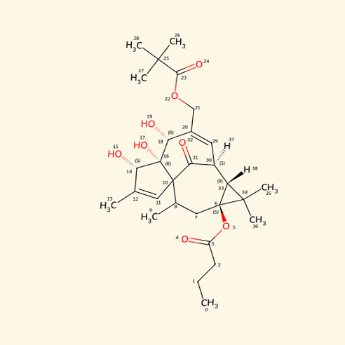 CCCC(=O)O[C@@]12CC(C)C34C=C(C)[C@H](O)[C@@]3(O)[C@H](O)C(COC(=O)C(C)(C)C)=C[C@H](C4=O)[C@@H]1C2(C)C